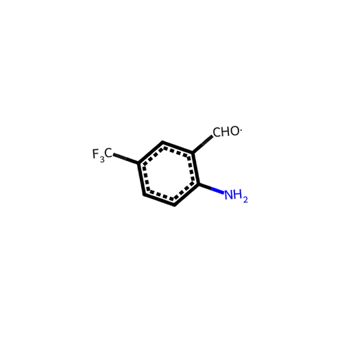 Nc1ccc(C(F)(F)F)cc1[C]=O